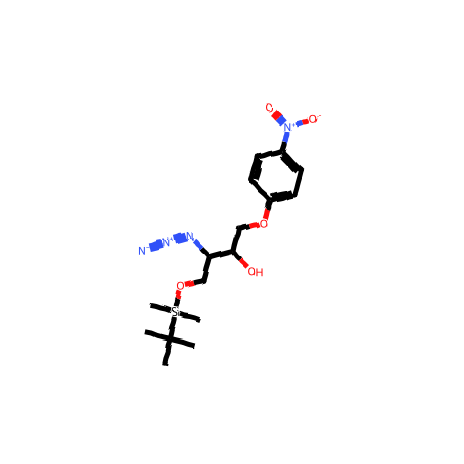 CC(C)(C)[Si](C)(C)OCC(N=[N+]=[N-])C(O)COc1ccc([N+](=O)[O-])cc1